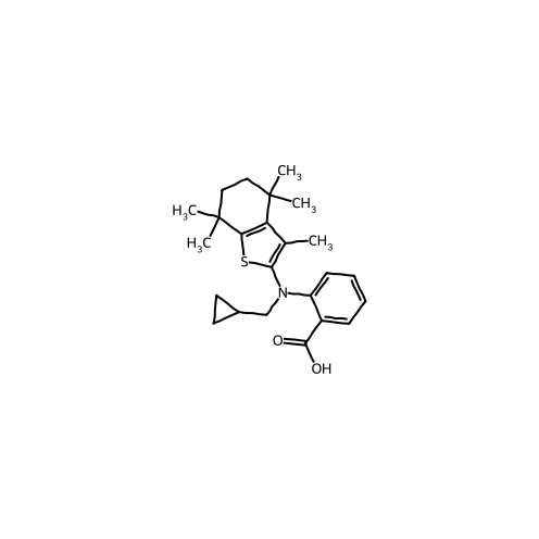 Cc1c(N(CC2CC2)c2ccccc2C(=O)O)sc2c1C(C)(C)CCC2(C)C